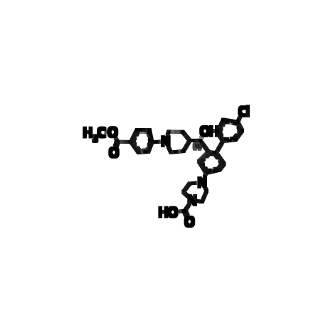 COC(=O)c1ccc(N2CCC([C@H](O)c3cc(N4CCN(C(=O)O)CC4)ccc3-c3ccc(Cl)cc3)CC2)cc1